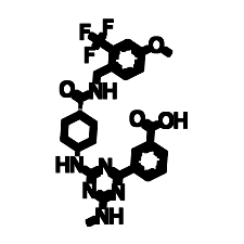 CNc1nc(N[C@H]2CC[C@@H](C(=O)NCc3ccc(OC)cc3C(F)(F)F)CC2)nc(-c2cccc(C(=O)O)c2)n1